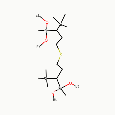 CCO[Si](C)(OCC)C(CCSCCC([Si](C)(C)C)[Si](C)(OCC)OCC)[Si](C)(C)C